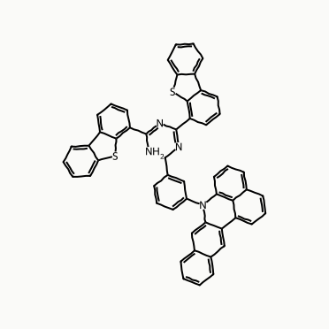 N/C(=N\C(=N/Cc1cccc(N2c3cc4ccccc4cc3-c3cccc4cccc2c34)c1)c1cccc2c1sc1ccccc12)c1cccc2c1sc1ccccc12